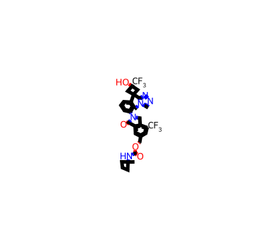 Cn1cnnc1C1(c2cccc(N3Cc4c(cc(COC(=O)NC5(C)CCC5)cc4C(F)(F)F)C3=O)c2)CC(O)(C(F)(F)F)C1